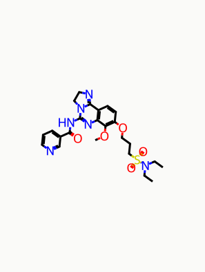 CCN(CC)S(=O)(=O)CCCOc1ccc2c(c1OC)N=C(NC(=O)c1cccnc1)N1CCN=C21